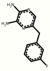 Nc1ncc(Cc2cccc(F)c2)nc1N